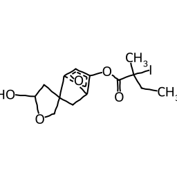 CCC(C)(I)C(=O)Oc1cc2oc1CC21COC(O)C1